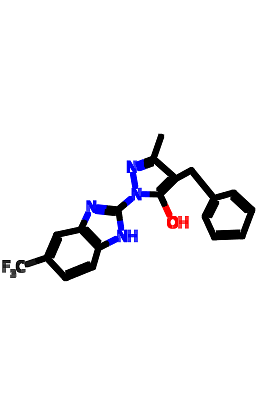 Cc1nn(-c2nc3cc(C(F)(F)F)ccc3[nH]2)c(O)c1Cc1ccccc1